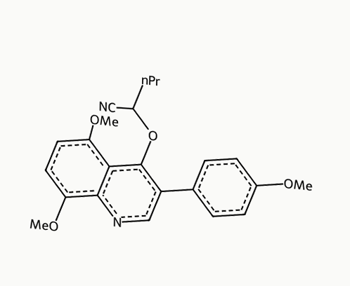 CCCC(C#N)Oc1c(-c2ccc(OC)cc2)cnc2c(OC)ccc(OC)c12